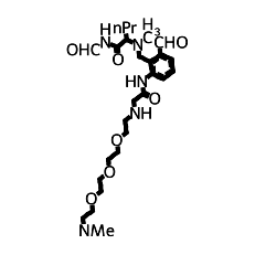 CCCC(C(=O)NC=O)N(C)Cc1c(C=O)cccc1NC(=O)CNCCOCCOCCOCCNC